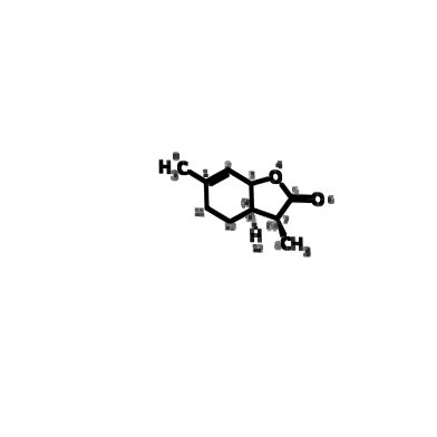 CC1=CC2OC(=O)[C@@H](C)[C@H]2CC1